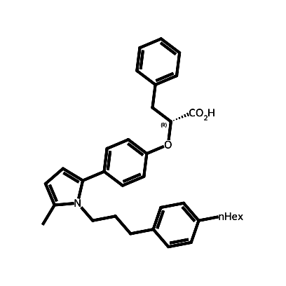 CCCCCCc1ccc(CCCn2c(C)ccc2-c2ccc(O[C@H](Cc3ccccc3)C(=O)O)cc2)cc1